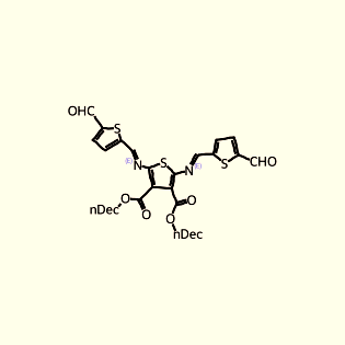 CCCCCCCCCCOC(=O)c1c(/N=C/c2ccc(C=O)s2)sc(/N=C/c2ccc(C=O)s2)c1C(=O)OCCCCCCCCCC